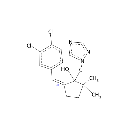 CC1(C)CC/C(=C/c2ccc(Cl)c(Cl)c2)C1(O)Cn1cncn1